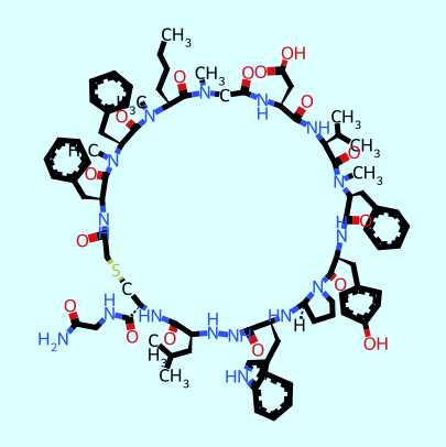 CCCC[C@H]1C(=O)N(C)CC(=O)N[C@@H](CC(=O)O)C(=O)N[C@@H](C(C)C)C(=O)N(C)[C@@H](Cc2ccccc2)C(=O)N[C@@H](Cc2ccc(O)cc2)C(=O)N2CCC[C@H]2N[C@@H](Cc2c[nH]c3ccccc23)C(=O)NN[C@@H](CC(C)C)C(=O)N[C@H](C(=O)NCC(N)=O)CSCC(=O)N[C@@H](Cc2ccccc2)C(=O)N(C)[C@@H](Cc2ccccc2)C(=O)N1C